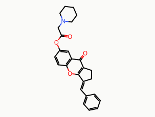 O=C(CN1CCCCC1)Oc1ccc2oc3c(c(=O)c2c1)CCC3=Cc1ccccc1